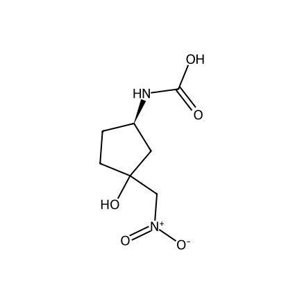 O=C(O)N[C@@H]1CCC(O)(C[N+](=O)[O-])C1